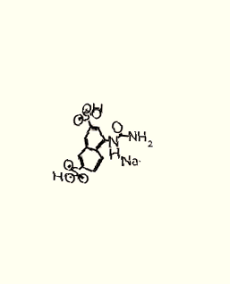 NC(=O)Nc1cc(S(=O)(=O)O)cc2cc(S(=O)(=O)O)ccc12.[Na]